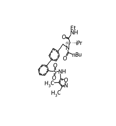 CCCCC(=O)N(Cc1ccc(-c2ccccc2S(=O)(=O)Nc2onc(C)c2C)cc1)[C@H](C(=O)NCC)C(C)C